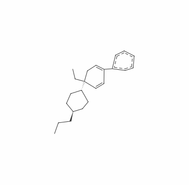 CCC[C@H]1CC[C@H](C2(CC)C=CC(c3ccccc3)=CC2)CC1